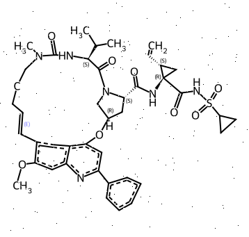 C=C[C@@H]1C[C@]1(NC(=O)[C@@H]1C[C@@H]2CN1C(=O)[C@H](C(C)C)NC(=O)N(C)CCC/C=C/c1cc3c(cc(-c4ccccc4)nc3cc1OC)O2)C(=O)NS(=O)(=O)C1CC1